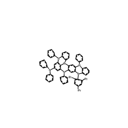 CC(C)c1cc(C(C)C)c(B2c3ccccc3N(c3ccccc3)c3cc4c(cc32)N(c2ccccc2)c2cc(N(c3ccccc3)c3ccccc3)cc3c2B4c2ccccc2N3c2ccccc2)c(C(C)C)c1